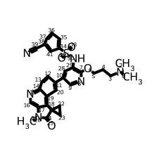 CN(C)CCCOc1ncc(-c2ccc3ncc4c(c3c2)C2(CC2)C(=O)N4C)cc1NS(=O)(=O)c1cccc(C#N)c1